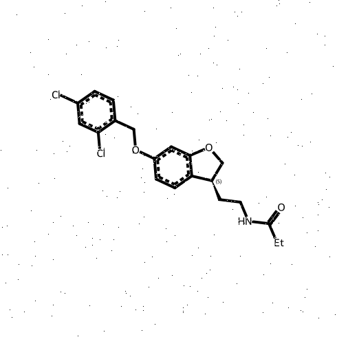 CCC(=O)NCC[C@@H]1COc2cc(OCc3ccc(Cl)cc3Cl)ccc21